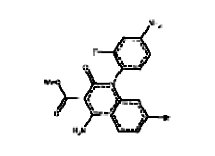 COC(=O)c1c(N)c2ccc(Br)cc2n(-c2ccc(N)cc2F)c1=O